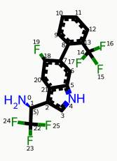 N[C@@H](c1c[nH]c2cc(-c3ccccc3C(F)(F)F)c(F)cc12)C(F)(F)F